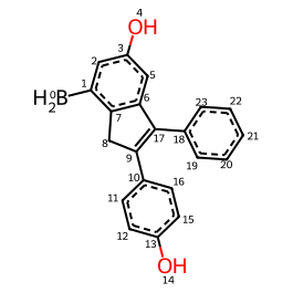 Bc1cc(O)cc2c1CC(c1ccc(O)cc1)=C2c1ccccc1